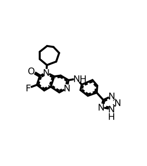 O=c1c(F)cc2cnc(Nc3ccc(-c4nn[nH]n4)cc3)cc2n1C1CCCCCC1